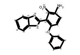 Nc1ccc(Oc2ccccc2)c(-c2nc3ccccc3s2)c1[N+](=O)[O-]